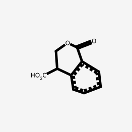 O=C1OCC(C(=O)O)c2ccccc21